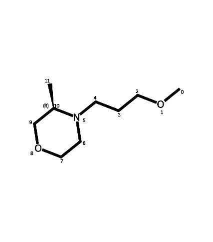 COCCCN1CCOC[C@H]1C